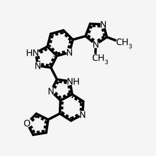 Cc1ncc(-c2ccc3[nH]nc(-c4nc5c(-c6ccoc6)cncc5[nH]4)c3n2)n1C